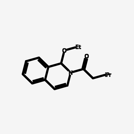 CCOC1c2ccccc2C=CN1C(=O)CC(C)C